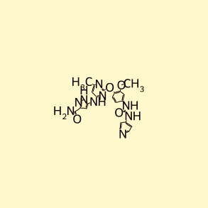 COc1cc(NC(=O)Nc2ccncc2)ccc1Oc1nc(C)cc(Nc2cc(C(N)=O)n[nH]2)n1